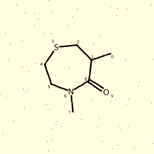 CC1CSCCN(C)C1=O